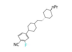 CCC[C@H]1CC[C@H](CCC2CCC(c3ccc(C#N)c(F)c3)CC2)CC1